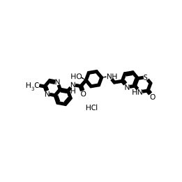 Cc1cnc2c(NC(=O)[C@]3(O)CC[C@@H](NCc4ccc5c(n4)NC(=O)CS5)CC3)cccc2n1.Cl